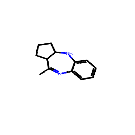 CC1=Nc2ccccc2NC2CCCC12